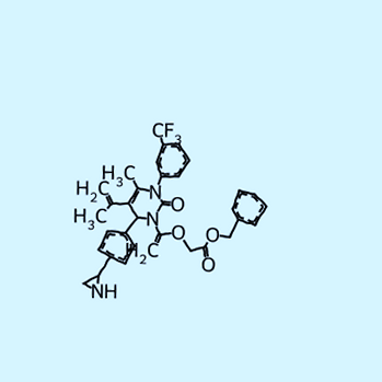 C=C(C)C1=C(C)N(c2cccc(C(F)(F)F)c2)C(=O)N(C(=C)OCC(=O)OCc2ccccc2)C1c1ccc(C2CN2)cc1